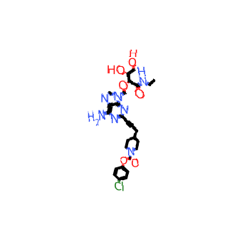 CCNC(=O)[C@@H](OCn1cnc2c(N)nc(C#CCC3CCN(C(=O)Oc4ccc(Cl)cc4)CC3)nc21)[C@H](O)CO